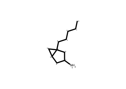 CCCCCC12CC(N)CC1C2